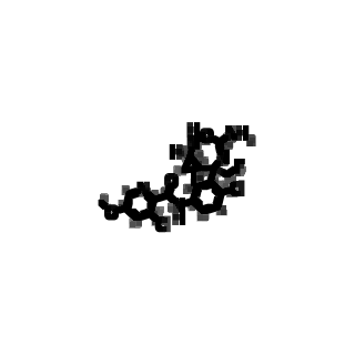 COc1cnc(C(=O)Nc2ccc(Cl)c([C@@]3(CF)N=C(N)ON[C@@H]4C[C@@H]43)c2)c(Cl)c1